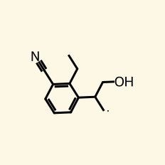 [CH2]C(CO)c1cccc(C#N)c1CC